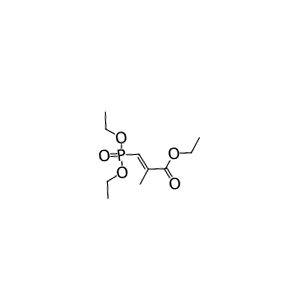 CCOC(=O)C(C)=CP(=O)(OCC)OCC